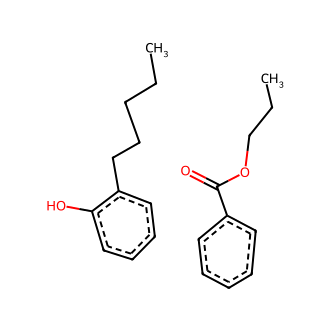 CCCCCc1ccccc1O.CCCOC(=O)c1ccccc1